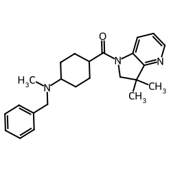 CN(Cc1ccccc1)C1CCC(C(=O)N2CC(C)(C)c3ncccc32)CC1